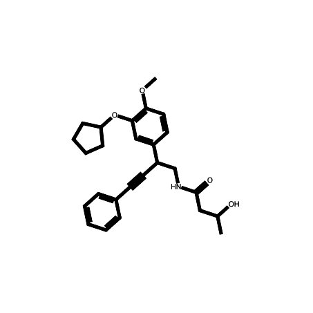 COc1ccc(C(C#Cc2ccccc2)CNC(=O)CC(C)O)cc1OC1CCCC1